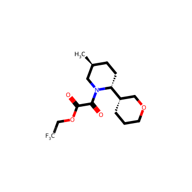 C[C@H]1CC[C@H]([C@H]2CCCOC2)N(C(=O)C(=O)OCC(F)(F)F)C1